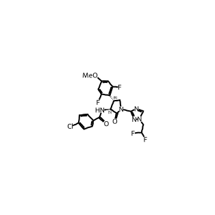 COc1cc(F)c([C@@H]2CN(c3ncn(CC(F)F)n3)C(=O)[C@H]2NC(=O)c2ccc(Cl)cc2)c(F)c1